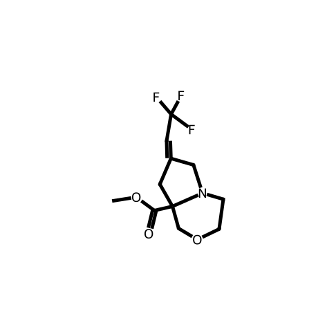 COC(=O)C12COCCN1CC(=CC(F)(F)F)C2